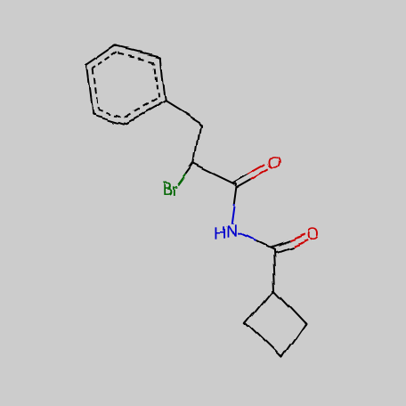 O=C(NC(=O)C1CCC1)C(Br)Cc1ccccc1